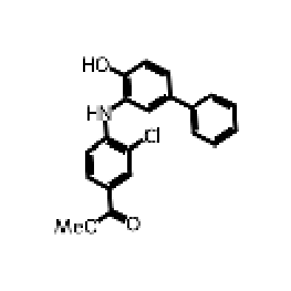 COC(=O)c1ccc(Nc2cc(-c3ccccc3)ccc2O)c(Cl)c1